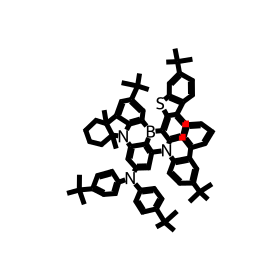 CC(C)(C)c1ccc(N(c2ccc(C(C)(C)C)cc2)c2cc3c4c(c2)N2c5c(cc(C(C)(C)C)cc5C5(C)CCCCC25C)B4c2c(ccc4c2sc2cc(C(C)(C)C)ccc24)N3c2ccc(C(C)(C)C)cc2-c2ccccc2)cc1